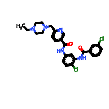 CCN1CCN(Cc2ccc(C(=O)Nc3ccc(Cl)c(NC(=O)c4cccc(Cl)c4)c3)cn2)CC1